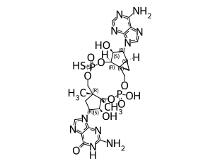 C[C@@]12CO[P@](=O)(S)O[C@H]3[C@@H](O)[C@H](n4cnc5c(N)ncnc54)[C@H]4C[C@]43COP(=O)(O)O[C@]1(C)[C@@H](O)[C@H](n1cnc3c(=O)[nH]c(N)nc31)C2